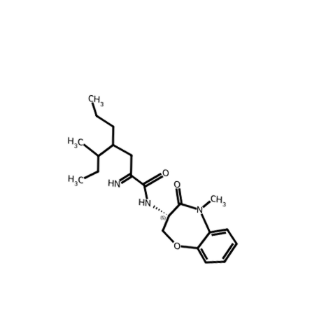 CCCC(CC(=N)C(=O)N[C@H]1COc2ccccc2N(C)C1=O)C(C)CC